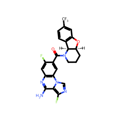 Nc1nc2cc(F)c(C(=O)N3CCC[C@@H]4Oc5cc(C(F)(F)F)ccc5[C@@H]43)cc2n2cnc(F)c12